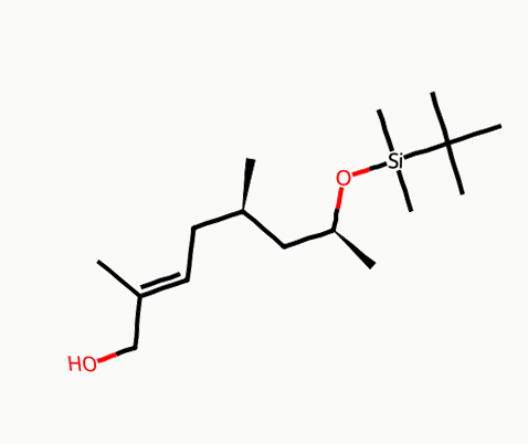 C/C(=C\C[C@@H](C)C[C@H](C)O[Si](C)(C)C(C)(C)C)CO